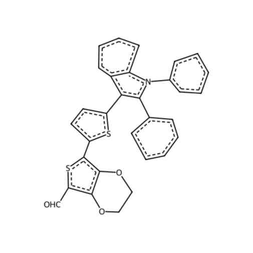 O=Cc1sc(-c2ccc(-c3c(-c4ccccc4)n(-c4ccccc4)c4ccccc34)s2)c2c1OCCO2